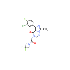 Cc1nc(-c2ccc(F)c(Cl)c2)c2c(=O)n(CC(=O)N3CC(F)(F)C3)cnn12